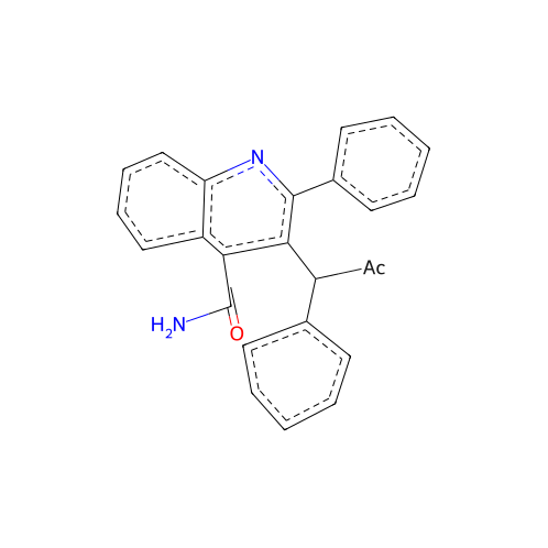 CC(=O)C(c1ccccc1)c1c(-c2ccccc2)nc2ccccc2c1C(N)=O